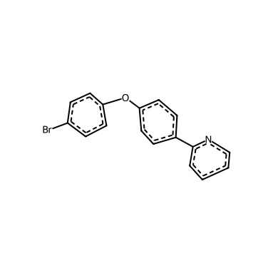 Brc1ccc(Oc2ccc(-c3ccccn3)cc2)cc1